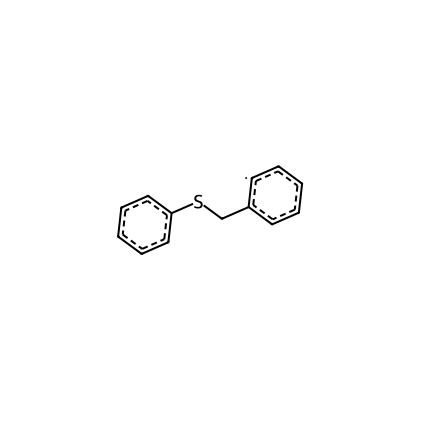 [c]1ccccc1CSc1ccccc1